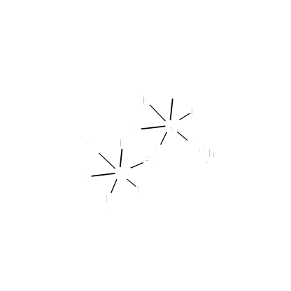 [F][Sb-]([F])([F])([F])([F])[F].[F][Sb-]([F])([F])([F])([F])[F].[Rh]